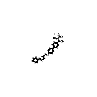 CC(c1ccc(-c2ccc(OCc3csc(-c4ccccc4)n3)cc2)cc1)N(O)C(N)=O